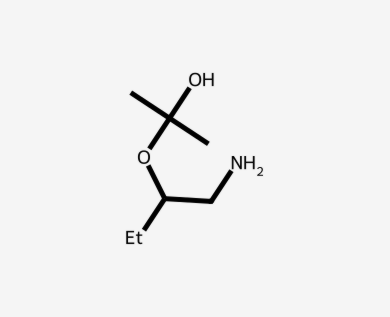 CCC(CN)OC(C)(C)O